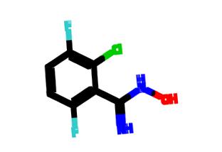 N=C(NO)c1c(F)ccc(F)c1Cl